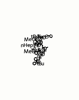 C=C1C[C@@H](C[C@H]2C[C@@H](O[Si](C)(C)C(C)(C)C)C[C@@H](C[C@H](CCO[Si](c3ccccc3)(c3ccccc3)C(C)(C)C)OCc3ccc(OC)cc3)O2)O[C@@H](C=CC(C)(C)[C@]2(OCC)O[C@H](C[C@@H](O[Si](C)(C)C(C)(C)C)[C@@H](C)OCOCc3ccccc3)CC(=CC(=O)OC)[C@@H]2OC(=O)CCCCCCC)C1